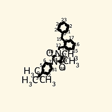 CC(C)(C)c1ccc(N2C(=O)N(Cc3ccccc3Cc3ccccc3)C(C)(C)C2=O)cc1